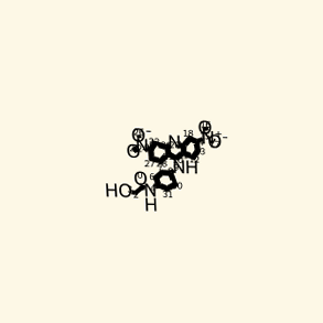 O=C(CO)Nc1ccc(Nc2c3ccc([N+](=O)[O-])cc3nc3cc([N+](=O)[O-])ccc23)cc1